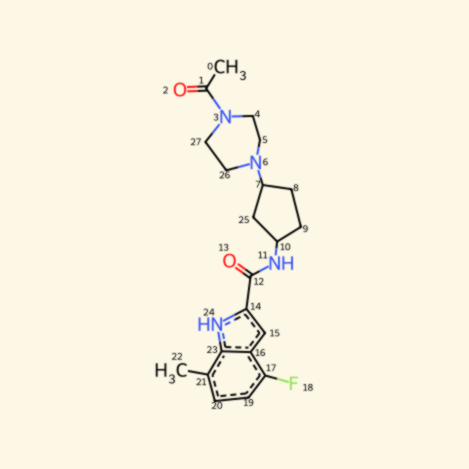 CC(=O)N1CCN(C2CCC(NC(=O)c3cc4c(F)ccc(C)c4[nH]3)C2)CC1